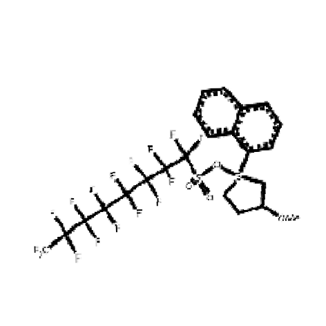 COC1CCS(OS(=O)(=O)C(F)(F)C(F)(F)C(F)(F)C(F)(F)C(F)(F)C(F)(F)C(F)(F)C(F)(F)F)(c2cccc3ccccc23)C1